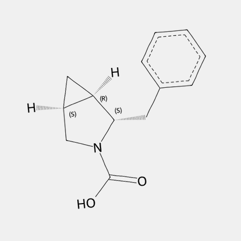 O=C(O)N1C[C@H]2C[C@H]2[C@@H]1Cc1ccccc1